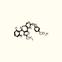 CC1CC2=C(S1)c1nc(Nc3ccc(C(=O)O)cc3)ncc1CN=C2c1c(F)cccc1F